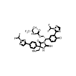 C[C@H](NC(=O)OC[C@H](c1ccc(Cl)c(-c2ncnn2C(F)F)c1)N1C(=N)N[C@](CC(C)(C)C)(c2ccc(-c3cnn(C(F)F)n3)cc2)C1=O)C(F)(F)F